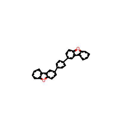 c1ccc2c(c1)oc1ccc(-c3ccc(-c4ccc5oc6ccccc6c5c4)cc3)cc12